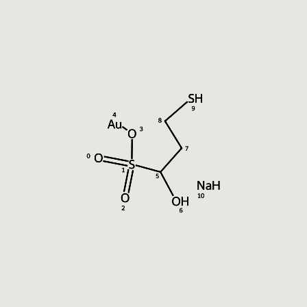 O=S(=O)([O][Au])C(O)CCS.[NaH]